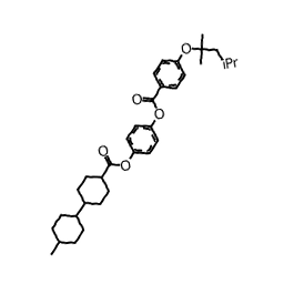 CC(C)CC(C)(C)Oc1ccc(C(=O)Oc2ccc(OC(=O)C3CCC(C4CCC(C)CC4)CC3)cc2)cc1